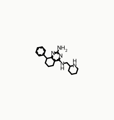 Nc1nc(NCC2CCCCN2)c2c(n1)C(c1ccccc1)CCC2